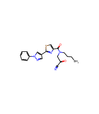 BCCCN(CC(=O)C#N)C(=O)c1csc(-c2cnn(-c3ccccc3)c2)n1